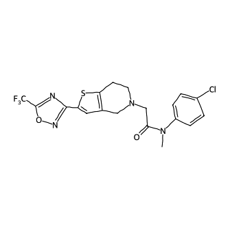 CN(C(=O)CN1CCc2sc(-c3noc(C(F)(F)F)n3)cc2C1)c1ccc(Cl)cc1